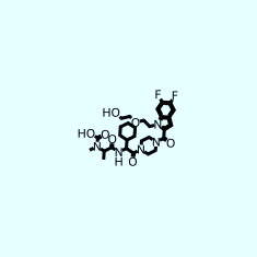 CC(C(=O)NC(C(=O)N1CCN(C(=O)c2cc3cc(F)c(F)cc3n2CCOCCO)CC1)C1CCCCC1)N(C)C(=O)O